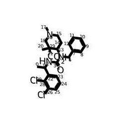 CC(NC(=O)N(Cc1ccccc1)C1CCN(C)CC1(C)C(=O)O)c1cccc(Cl)c1Cl